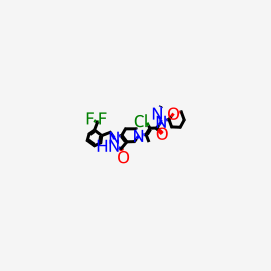 C=NN(C(=O)/C(Cl)=C(\C)N1CCc2c(c(=O)[nH]n2Cc2ccccc2C(F)F)C1)C1CCCCO1